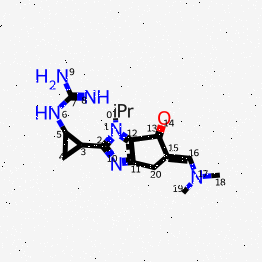 CC(C)n1c(C2CC2NC(=N)N)nc2c1C(=O)/C(=C/N(C)C)C2